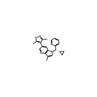 Cc1noc(C)c1-c1cnc2c(I)cn([C@H](c3ccccn3)C3CC3)c2c1